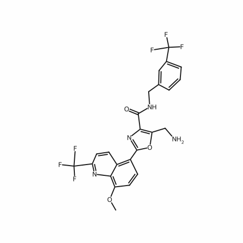 COc1ccc(-c2nc(C(=O)NCc3cccc(C(F)(F)F)c3)c(CN)o2)c2ccc(C(F)(F)F)nc12